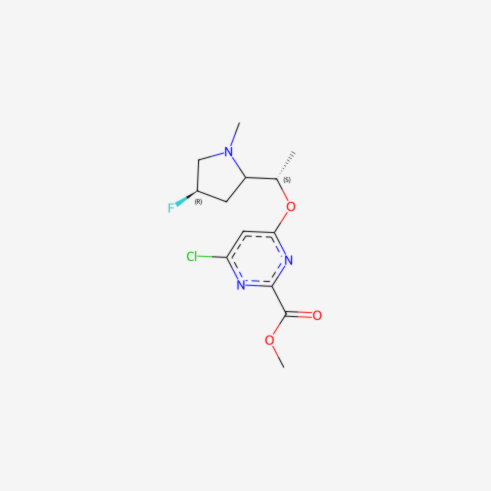 COC(=O)c1nc(Cl)cc(O[C@@H](C)C2C[C@@H](F)CN2C)n1